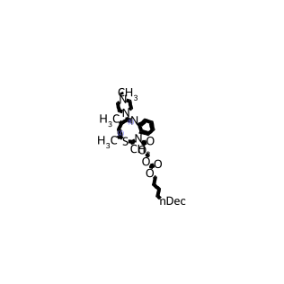 CCCCCCCCCCCCCCOC(=O)OCOC(=O)N1c2ccccc2/N=C(/N2CCN(C)CC2)C(C)/C=C(/C)SC1C